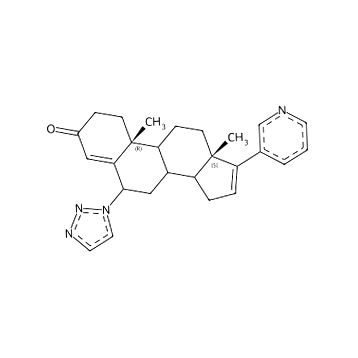 C[C@]12CCC(=O)C=C1C(n1ccnn1)CC1C2CC[C@]2(C)C(c3cccnc3)=CCC12